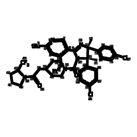 CCOc1cc(C(C)(C)C)ncc1C1=N[C@@](C)(c2ccc(Cl)cc2)[C@@](C)(c2ccc(Cl)cc2)N1C(=O)N1CCC(CC(=O)N2CCCC2C(F)(F)F)CC1